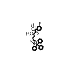 Cc1c(C(O)CCc2cn(C(c3ccccc3)(c3ccccc3)c3ccccc3)cn2)sc2ccc(F)cc12